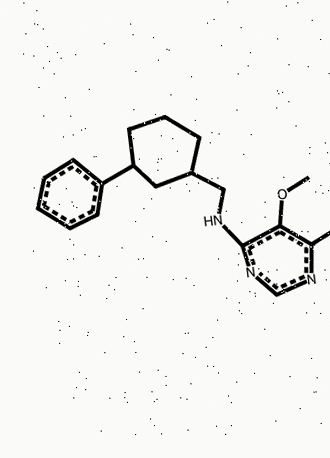 COc1c(Cl)ncnc1NCC1CCCC(c2ccccc2)C1